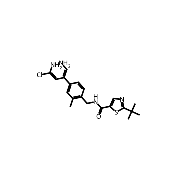 Cc1cc(C(/C=C(\N)Cl)=C/N)ccc1CNC(=O)c1cnc(C(C)(C)C)s1